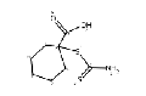 NC(=S)SC1(C(=O)O)CCCCC1